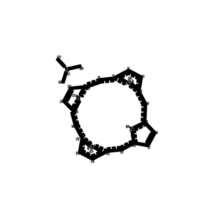 C1=Cc2cc3ccc(cc4nc(cc5ccc(cc1n2)[nH]5)C=C4)[nH]3.CN(C)C